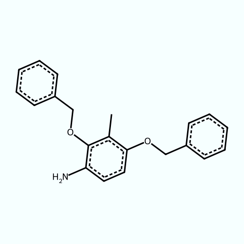 Cc1c(OCc2ccccc2)ccc(N)c1OCc1ccccc1